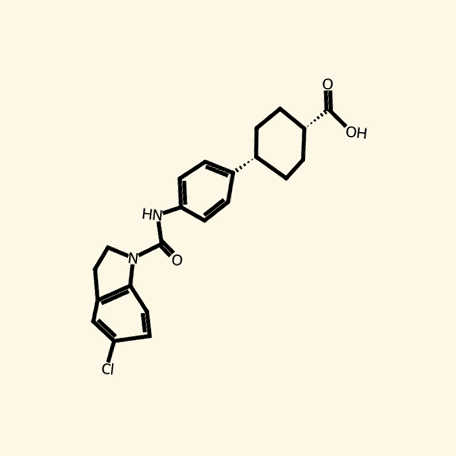 O=C(Nc1ccc([C@H]2CC[C@@H](C(=O)O)CC2)cc1)N1CCc2cc(Cl)ccc21